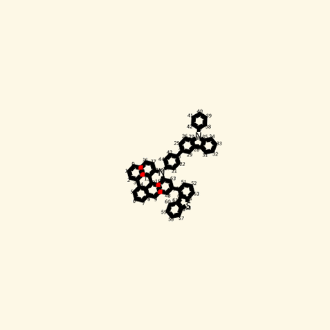 c1ccc(-c2cccc3cccc(-c4ccccc4N(c4ccc(-c5ccc6c(c5)c5ccccc5n6-c5ccccc5)cc4)c4cccc(-c5cccc6sc7ccccc7c56)c4)c23)cc1